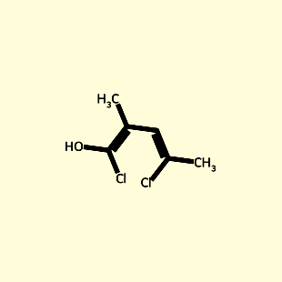 CC(Cl)=CC(C)=C(O)Cl